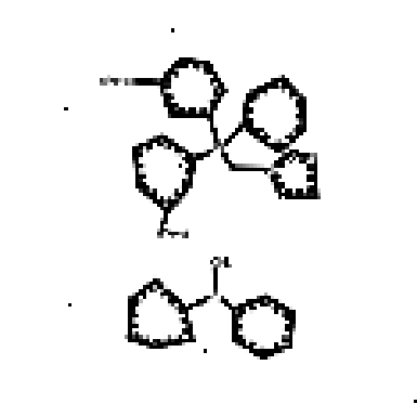 CB(c1ccccc1)c1ccccc1.CCCCCc1cccc([Si](Cn2ccnc2)(c2ccccc2)c2cccc(CCCCC)c2)c1